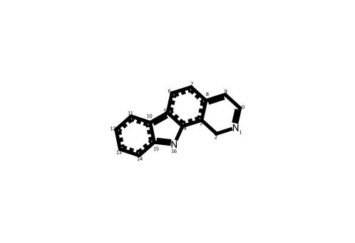 C1=NCc2c3c(ccc2=C1)=c1ccccc1=N3